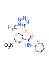 Cn1nnnc1Sc1ccc([N+](=O)[O-])cc1C(=O)Nc1ncccn1